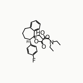 CCN(CC)CCC[C@]1(OC(=O)C(=O)O)c2ccccc2CCC[C@@H]1c1ccc(F)cc1